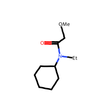 CCN(C(=O)COC)C1CCCCC1